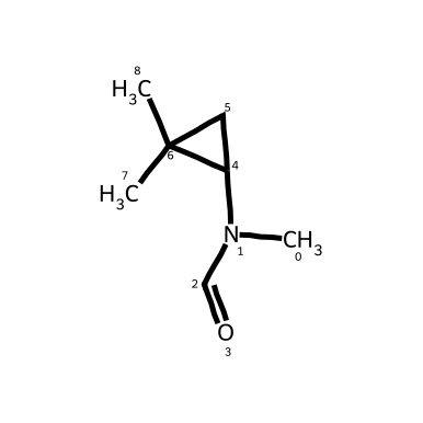 CN([C]=O)C1CC1(C)C